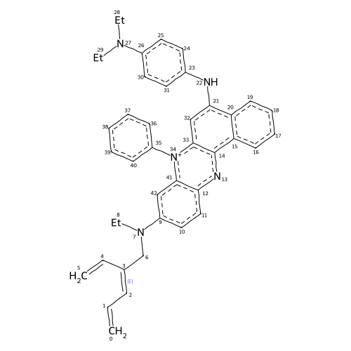 C=C/C=C(\C=C)CN(CC)c1ccc2nc3c4ccccc4c(Nc4ccc(N(CC)CC)cc4)cc3[n+](-c3ccccc3)c2c1